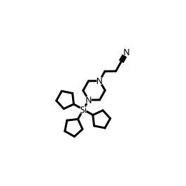 N#CCCN1CCN([Si](C2CCCC2)(C2CCCC2)C2CCCC2)CC1